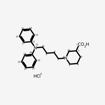 Cl.O=C(O)C1CCCN(CCCCN(c2ccccc2)c2ccccc2)C1